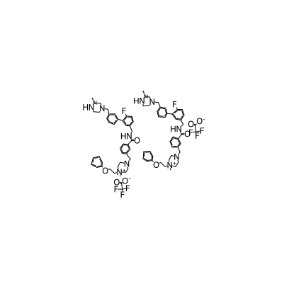 C[C@H]1CN(Cc2cccc(-c3cc(CNC(=O)c4cccc(CN5CC[N+](C)(CCOc6ccccc6)CC5)c4)ccc3F)c2)CCN1.C[C@H]1CN(Cc2cccc(-c3cc(CNC(=O)c4cccc(CN5CC[N+](C)(CCOc6ccccc6)CC5)c4)ccc3F)c2)CCN1.O=C([O-])C(F)(F)F.O=C([O-])C(F)(F)F